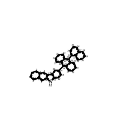 c1ccc2cc3c(cc2c1)[nH]c1ccc(-c2c4ccccc4c(-c4cccc5ccccc45)c4ccccc24)cc13